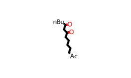 CCCCC(=O)CC(=O)CCCCCC(C)=O